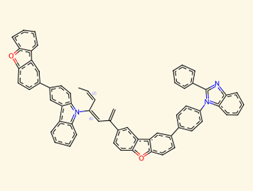 C=C(/C=C(\C=C/C)n1c2ccccc2c2cc(-c3ccc4oc5ccccc5c4c3)ccc21)c1ccc2oc3ccc(-c4ccc(-n5c(-c6ccccc6)nc6ccccc65)cc4)cc3c2c1